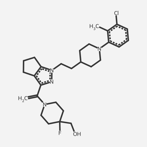 C=C(c1nn(CCC2CCN(c3cccc(Cl)c3C)CC2)c2c1CCC2)N1CCC(F)(CO)CC1